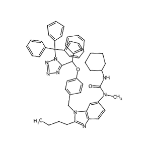 CCCCc1nc2ccc(N(C)C(=O)NC3CCCCC3)cc2n1Cc1ccc(OC(c2ccccc2)c2nnnn2C(c2ccccc2)(c2ccccc2)c2ccccc2)cc1